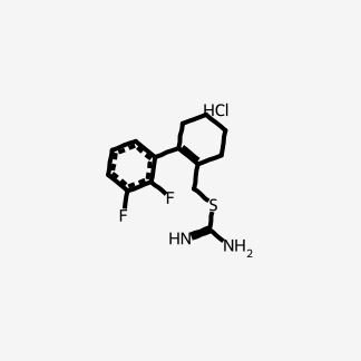 Cl.N=C(N)SCC1=C(c2cccc(F)c2F)CCCC1